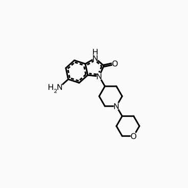 Nc1ccc2[nH]c(=O)n(C3CCN(C4CCOCC4)CC3)c2c1